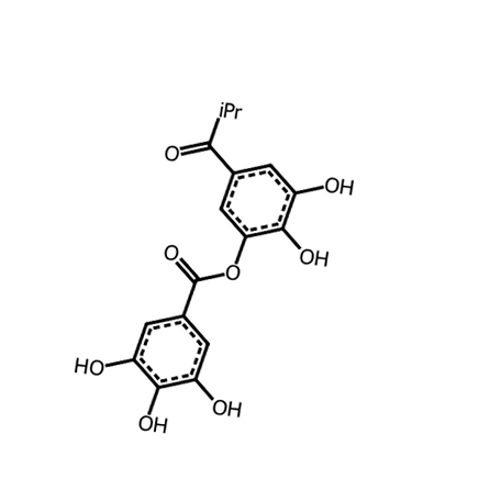 CC(C)C(=O)c1cc(O)c(O)c(OC(=O)c2cc(O)c(O)c(O)c2)c1